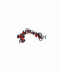 C#Cc1c(F)ccc2cccc(-c3ncc4c(N5CC6CCC(C5)N6)nc(OC[C@@]56CCCN5[C@H](COC(=O)N5CCC(OCC7CCN(Cc8cccc9c8n(C)c(=O)n9C8CCC(=O)NC8=O)CC7)CC5)CC6)nc4c3F)c12